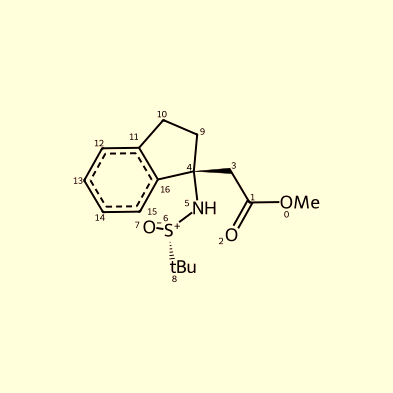 COC(=O)C[C@]1(N[S@@+]([O-])C(C)(C)C)CCc2ccccc21